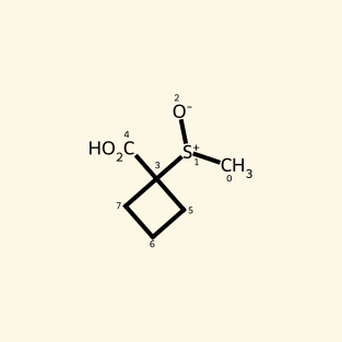 C[S+]([O-])C1(C(=O)O)CCC1